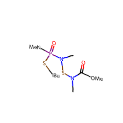 CCC(C)SP(=O)(NC)N(C)SN(C)C(=O)OC